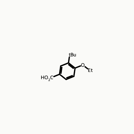 CCOc1ccc(C(=O)O)cc1C(C)(C)C